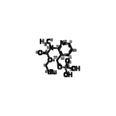 CN(C(=O)OCC(C)(C)C)c1ncccc1COP(=O)(O)O